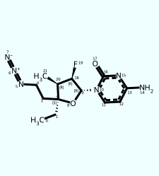 CC[C@@]1(CCN=[N+]=[N-])O[C@@H](n2ccc(N)nc2=O)[C@H](F)[C@@H]1C